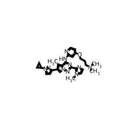 Cc1c(-c2ccn(C3CC3)n2)cn2nc(-c3nccn3C)nc(Nc3cc(OCCCN(C)C)ccn3)c12